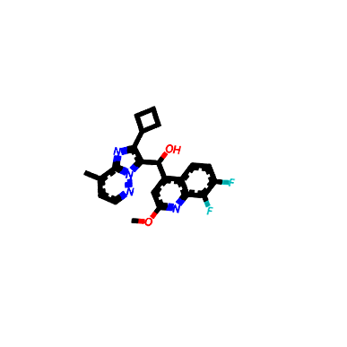 COc1cc(C(O)c2c(C3CCC3)nc3c(C)ccnn23)c2ccc(F)c(F)c2n1